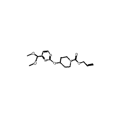 C=CCOC(=O)N1CCC(Oc2nccc(C(OC)OC)n2)CC1